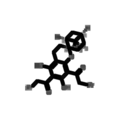 CC(C)CC(=O)c1c(O)c2c(c(C(=O)CC(C)C)c1O)O[C@@]1(CC2)CC[C@@H]2C[C@H]1C2(C)C